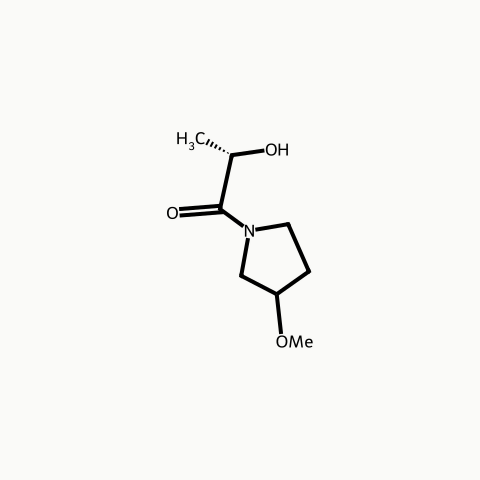 COC1CCN(C(=O)[C@H](C)O)C1